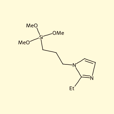 CCc1nccn1CCC[Si](OC)(OC)OC